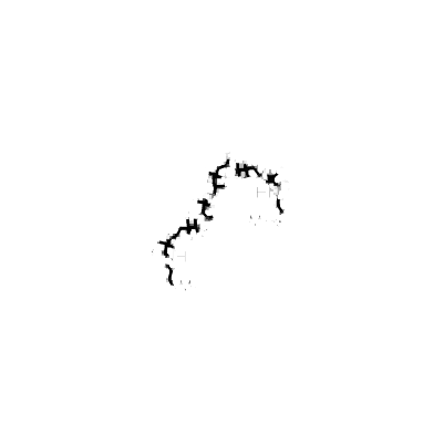 CSCCCNC(=O)C(C)(C)OCCC(C)(C)C(C)(C)OC(C)CC(C)(C)OCC(C)OC(C)(C)CC(C)OC(C)(C)C(C)(C)CCOC(C)(C)C(=O)NCCCSC